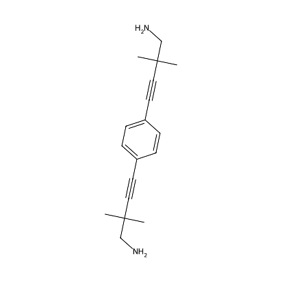 CC(C)(C#Cc1ccc(C#CC(C)(C)CN)cc1)CN